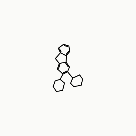 [c]1c2c(cc(C3CCCCC3)c1C1CCCCC1)-c1ccccc1C2